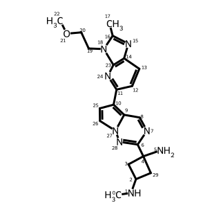 CNC1CC(N)(c2ncc3c(-c4ccc5nc(C)n(CCOC)c5n4)ccn3n2)C1